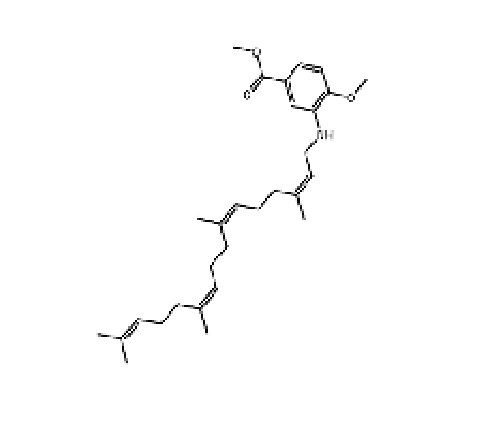 COC(=O)c1ccc(OC)c(NCC=C(C)CCC=C(C)CCC=C(C)CCC=C(C)C)c1